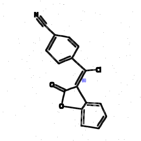 N#Cc1ccc(/C(Cl)=C2\C(=O)Oc3ccccc32)cc1